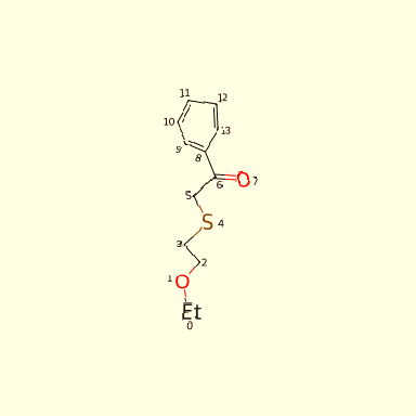 CCOCCSCC(=O)c1ccccc1